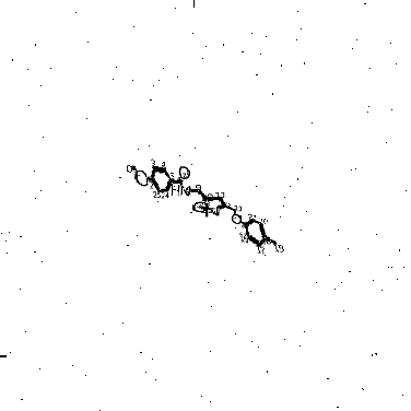 COc1ccc(C(=O)NCc2cc(COc3ccc(C)cc3)no2)cc1